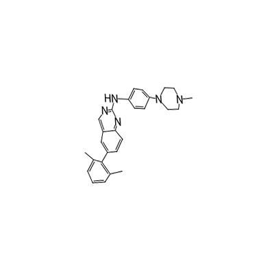 Cc1cccc(C)c1-c1ccc2nc(Nc3ccc(N4CCN(C)CC4)cc3)ncc2c1